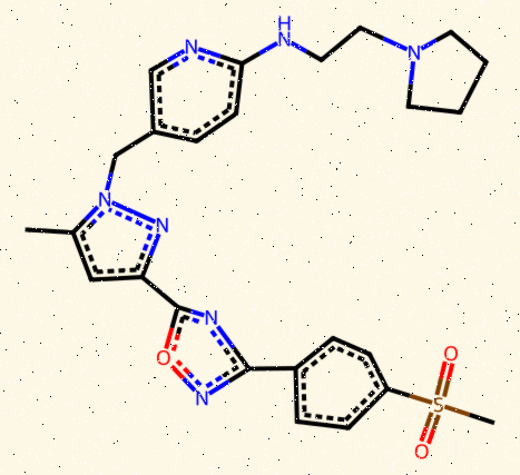 Cc1cc(-c2nc(-c3ccc(S(C)(=O)=O)cc3)no2)nn1Cc1ccc(NCCN2CCCC2)nc1